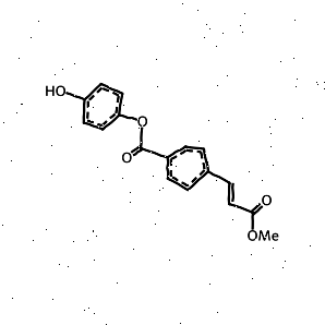 COC(=O)/C=C/c1ccc(C(=O)Oc2ccc(O)cc2)cc1